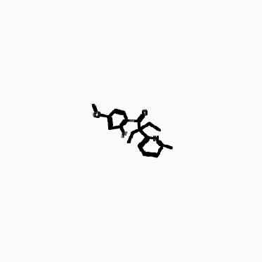 CCC(CC)(C(=O)c1ccc(OC)cc1F)c1cccc(C)n1